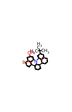 CC(C)(C)c1cccc(N(c2cc(O)cc(Br)c2)c2c(-c3ccccc3)cccc2-c2ccccc2)c1